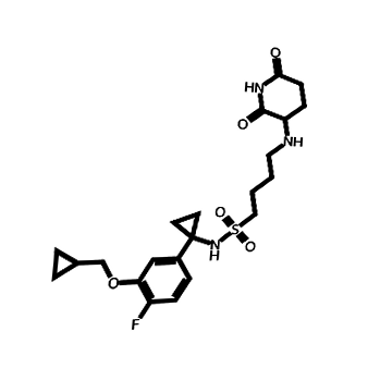 O=C1CCC(NCCCCS(=O)(=O)NC2(c3ccc(F)c(OCC4CC4)c3)CC2)C(=O)N1